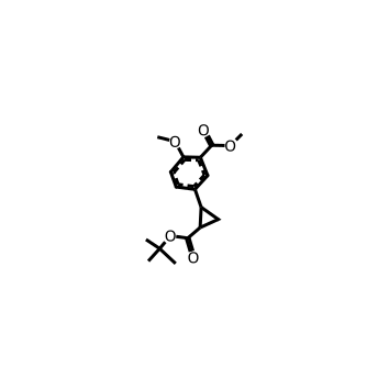 COC(=O)c1cc(C2CC2C(=O)OC(C)(C)C)ccc1OC